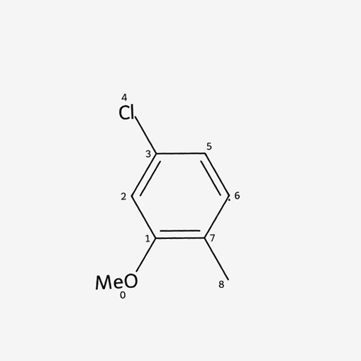 COc1cc(Cl)c[c]c1C